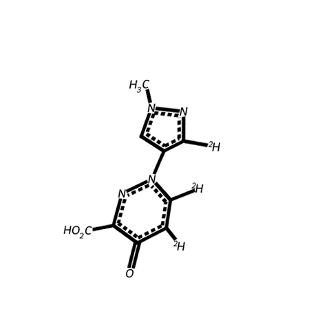 [2H]c1nn(C)cc1-n1nc(C(=O)O)c(=O)c([2H])c1[2H]